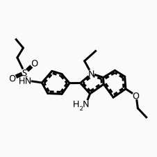 CCCS(=O)(=O)Nc1ccc(-c2c(N)c3cc(OCC)ccc3n2CC)cc1